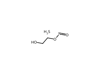 O=NOCCO.S